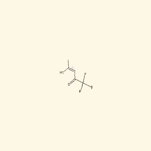 C/C(O)=C/C(=O)C(F)(F)F